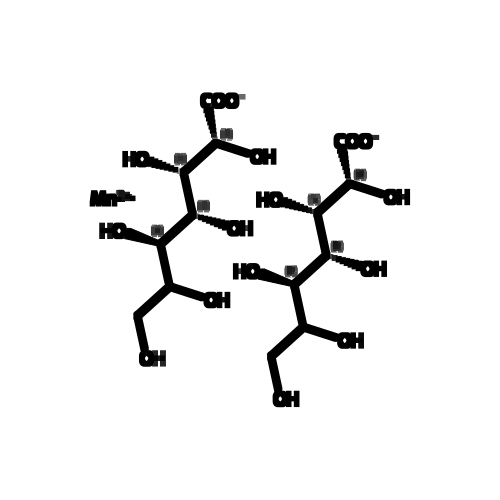 O=C([O-])[C@H](O)[C@@H](O)[C@H](O)[C@H](O)C(O)CO.O=C([O-])[C@H](O)[C@@H](O)[C@H](O)[C@H](O)C(O)CO.[Mn+2]